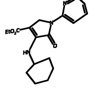 CCOC(=O)C1=C(NC2CCCCC2)C(=O)N(c2ccccn2)C1